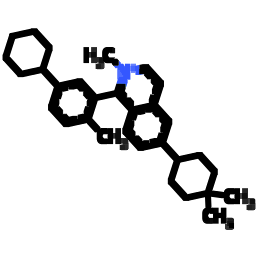 Cc1ccc(C2CCCCC2)cc1-c1c2ccc(C3CCC(C)(C)CC3)cc2cc[n+]1C